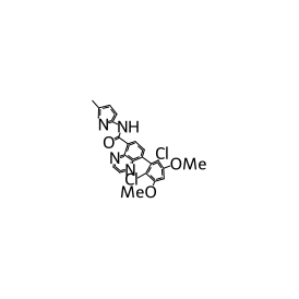 COc1cc(OC)c(Cl)c(-c2ccc(C(=O)Nc3ccc(C)cn3)c3nccnc23)c1Cl